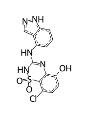 O=S1(=O)NC(Nc2cccc3[nH]ncc23)=Nc2c(O)ccc(Cl)c21